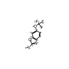 CSc1nc2ccc(OC(F)(F)F)cc2o1